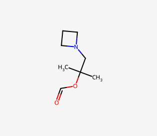 CC(C)(CN1CCC1)OC=O